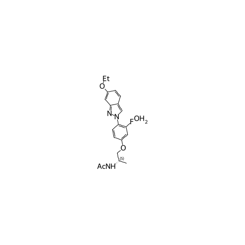 CCOc1ccc2cn(-c3ccc(OC[C@H](C)NC(C)=O)cc3F)nc2c1.O